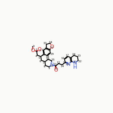 COC(=O)CC(CC1CCN(C(=O)CCc2ccc3c(n2)NCCC3)CC1)c1ccc2c(c1)CCO2